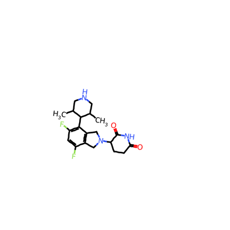 CC1CNCC(C)C1c1c(F)cc(F)c2c1CN(C1CCC(=O)NC1=O)C2